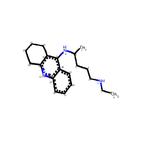 CCNCCCC(C)Nc1c2c(nc3ccccc13)CCCC2